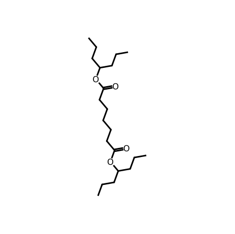 CCCC(CCC)OC(=O)CCCCCC(=O)OC(CCC)CCC